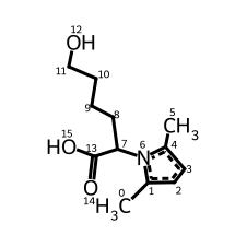 Cc1ccc(C)n1C(CCCCO)C(=O)O